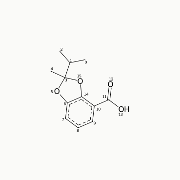 CC(C)C1(C)Oc2cccc(C(=O)O)c2O1